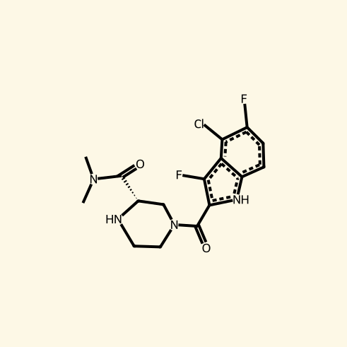 CN(C)C(=O)[C@@H]1CN(C(=O)c2[nH]c3ccc(F)c(Cl)c3c2F)CCN1